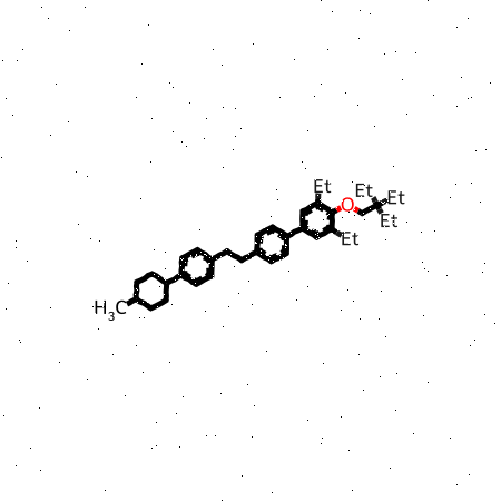 CCc1cc(-c2ccc(CCc3ccc(C4CCC(C)CC4)cc3)cc2)cc(CC)c1OCC(CC)(CC)CC